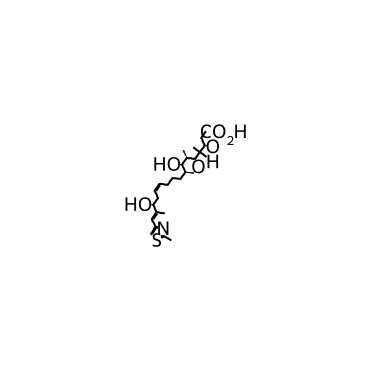 C/C(=C\c1csc(C)n1)[C@@H](O)C/C=C\CCC[C@H](C)[C@H](O)[C@@H](C)C(=O)C(C)(C)[C@@H](O)CC(=O)O